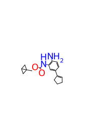 Nc1ccc(C2=CCCC2)cc1NC(=O)OCC12CC1C2